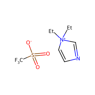 CC[N+]1(CC)C=CN=C1.O=S(=O)([O-])C(F)(F)F